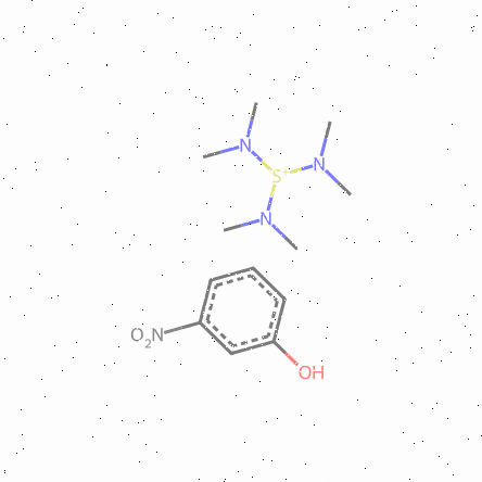 CN(C)[S+](N(C)C)N(C)C.O=[N+]([O-])c1cccc(O)c1